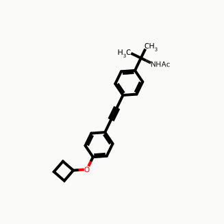 CC(=O)NC(C)(C)c1ccc(C#Cc2ccc(OC3CCC3)cc2)cc1